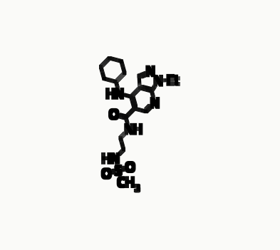 CCn1ncc2c(NC3CCCCC3)c(C(=O)NCCNS(C)(=O)=O)cnc21